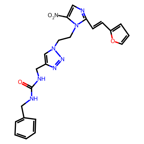 O=C(NCc1ccccc1)NCc1cn(CCn2c([N+](=O)[O-])cnc2C=Cc2ccco2)nn1